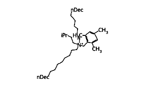 CCCCCCCCCCCCCCCCCC[N+](CCCCCCCCCCCCCCCC)(CCC(C)C)Cc1c(C)cc(C)cc1C